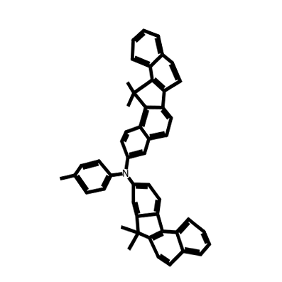 Cc1ccc(N(c2ccc3c(c2)C(C)(C)c2ccc4ccccc4c2-3)c2ccc3c4c(ccc3c2)-c2ccc3ccccc3c2C4(C)C)cc1